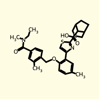 CCN(C)C(=O)c1ccc(COc2ccc(C)cc2-c2csc(N3CC4CCC(C3)C4C(=O)O)n2)c(C)c1